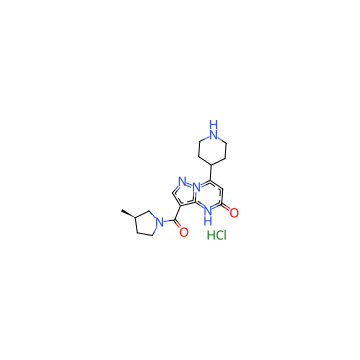 C[C@@H]1CCN(C(=O)c2cnn3c(C4CCNCC4)cc(=O)[nH]c23)C1.Cl